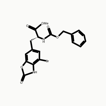 COC(=O)[C@@H](Cc1cc(Br)c2[nH]c(=O)oc2c1)NC(=O)OCc1ccccc1